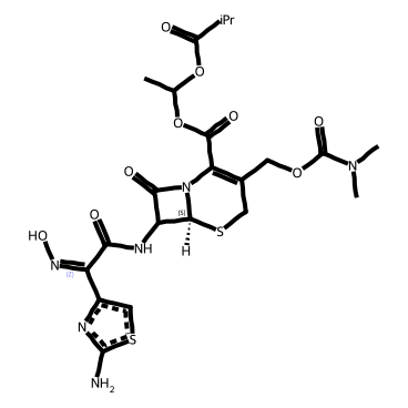 CC(OC(=O)C1=C(COC(=O)N(C)C)CS[C@H]2C(NC(=O)/C(=N\O)c3csc(N)n3)C(=O)N12)OC(=O)C(C)C